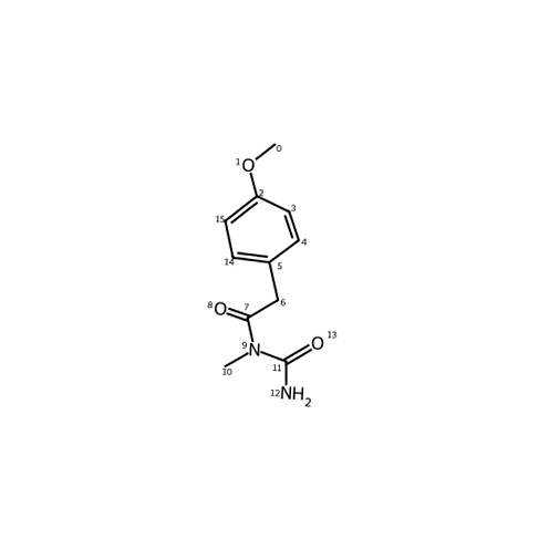 COc1ccc(CC(=O)N(C)C(N)=O)cc1